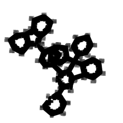 c1ccc(-c2nc(-c3ccc(-n4c5ccccc5c5ccccc54)cc3)c3c(n2)-c2ccccc2C3(c2ccccc2)c2ccccc2)cc1